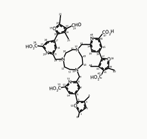 Cc1cc(C)c(-c2cc(CN3CCN(Cc4cc(-c5oc(C)c(C=O)c5C)cc(C(=O)O)n4)CCN(Cc4cc(-c5oc(C)c(C(=O)O)c5C)cc(C(=O)O)n4)CC3)nc(C(=O)O)c2)o1